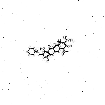 CN(C)C1C(O)=C(C(N)=O)C(=O)C2(O)C(O)=C3C(=O)c4c(O)c(COC5CCCCC5)cc(I)c4CC3CC12